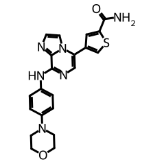 NC(=O)c1cc(-c2cnc(Nc3ccc(N4CCOCC4)cc3)c3nccn23)cs1